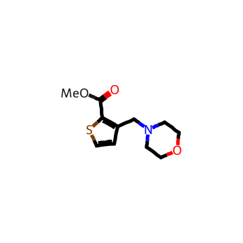 COC(=O)c1sccc1CN1CCOCC1